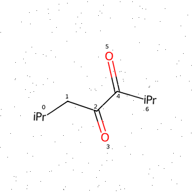 CC(C)CC(=O)C(=O)C(C)C